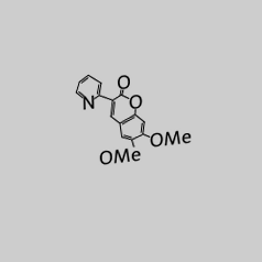 COc1cc2cc(-c3ccccn3)c(=O)oc2cc1OC